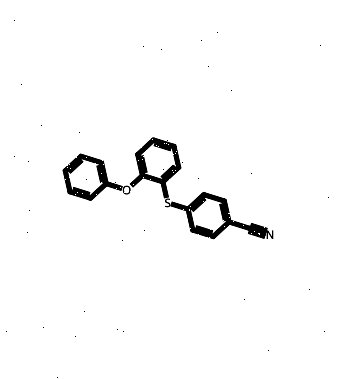 N#Cc1ccc(Sc2ccccc2Oc2ccccc2)cc1